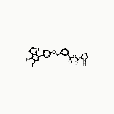 O=C(OC(=O)[C@@H]1CCCN1)c1cccc(COc2ccc(-c3cc(F)c(F)c4ccoc34)cc2)c1